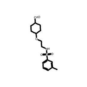 Cc1cccc(S(=O)(=O)NCCOC2CCC(C=O)CC2)c1